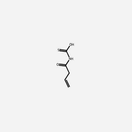 C=CCC(=O)NC(O)=S